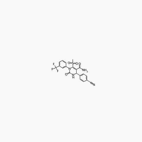 CS(=O)(=O)C1=C(C(N)=O)C(c2ccc(C#N)cc2)NC(=O)N1c1cccc(C(F)(F)F)c1